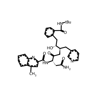 Cc1cc(C(=O)N[C@@H](CC(N)=O)C(=O)C[C@H](Cc2cccnc2)[C@H](O)Cc2ccccc2C(=O)NC(C)(C)C)nc2ccccc12